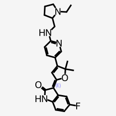 CCN1CCCC1CNc1ccc(C2=C/C(=C3\C(=O)Nc4ccc(F)cc43)OC2(C)C)cn1